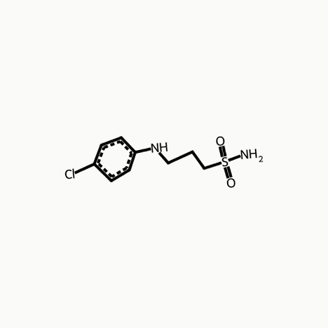 NS(=O)(=O)CCCNc1ccc(Cl)cc1